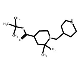 CC(C)(C)OC(=O)C1CCN(CC2CCNCC2)C(C)(C)C1